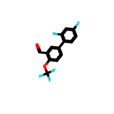 O=Cc1cc(-c2ccc(F)cc2F)ccc1OC(F)(F)F